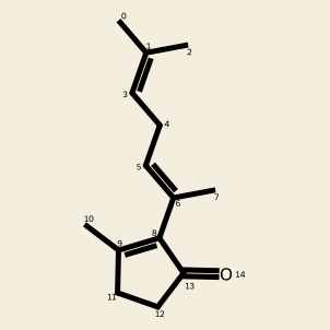 CC(C)=CCC=C(C)C1=C(C)CCC1=O